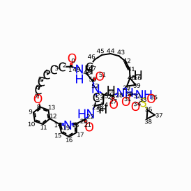 O=C1CCCCCOc2cccc(c2)-c2cccc(n2)C(=O)N[C@@H]2C[C@H]3C(=O)N[C@]4(C(=O)NS(=O)(=O)C5CC5)C[C@H]4/C=C\CCCCC[C@H](N1)C(=O)N3C2